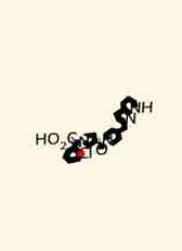 O=C(O)[C@@H](c1ccccc1Cl)N1CC[C@@H](C(=O)N2CCC(Cc3ccc4c(n3)NCCC4)CC2)C1